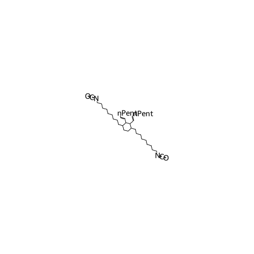 CCCCC/C=C/C1C(CCCCCCCCCN=C=O)CCC(CCCCCCCCCN=C=O)C1/C=C/CCCCC